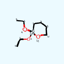 CCO[Si]1(OCC)CCCCO1